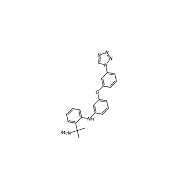 CNC(C)(C)c1ccccc1Nc1cccc(Oc2cccc(-n3cnnn3)c2)c1